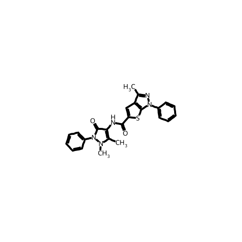 Cc1nn(-c2ccccc2)c2sc(C(=O)Nc3c(C)n(C)n(-c4ccccc4)c3=O)cc12